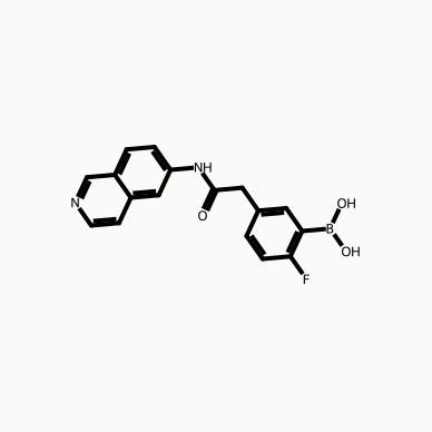 O=C(Cc1ccc(F)c(B(O)O)c1)Nc1ccc2cnccc2c1